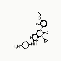 CCOc1cccc(N2Cc3cnc(NC4CCC(N)CC4)nc3N(C3CC3)C2=O)c1F